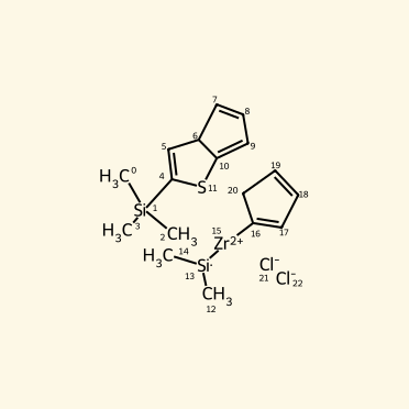 C[Si](C)(C)C1=CC2C=CC=C2S1.C[Si](C)[Zr+2][C]1=CC=CC1.[Cl-].[Cl-]